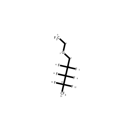 FC(F)(F)COCC(F)(F)C(F)(F)C(F)(F)C(F)(F)F